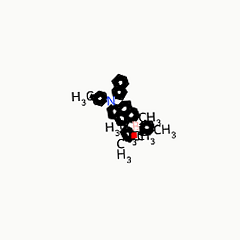 Cc1ccc(N(c2ccc3ccccc3c2)c2ccc3ccc4c(B(c5c(C)cc(C)cc5C)c5c(C)cc(C)cc5C)ccc5ccc2c3c54)cc1